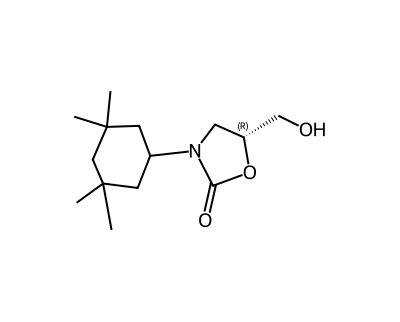 CC1(C)CC(N2C[C@H](CO)OC2=O)CC(C)(C)C1